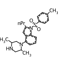 CCCc1cc2c(N3CC(C)NCC3C)cccc2n1S(=O)(=O)c1ccc(C)cc1